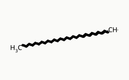 [CH]=CC=CC=CC=CC=CCCCCCCCCCCCCCCCCCCCC